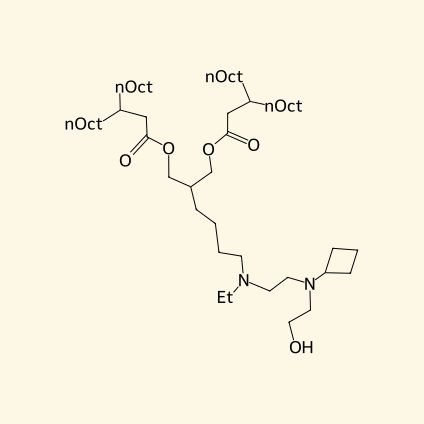 CCCCCCCCC(CCCCCCCC)CC(=O)OCC(CCCCN(CC)CCN(CCO)C1CCC1)COC(=O)CC(CCCCCCCC)CCCCCCCC